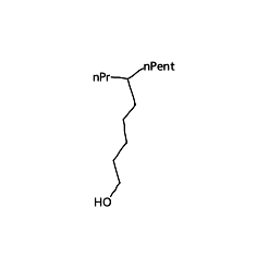 CCCCCC(CCC)CCCCCO